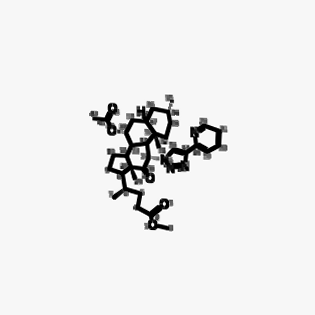 COC(=O)CC[C@@H](C)C1CCC2C3C([C@H](n4cc(-c5ccccn5)nn4)C(=O)[C@@]21C)[C@@]1(C)CC[C@@H](C)C[C@H]1C[C@H]3OC(C)=O